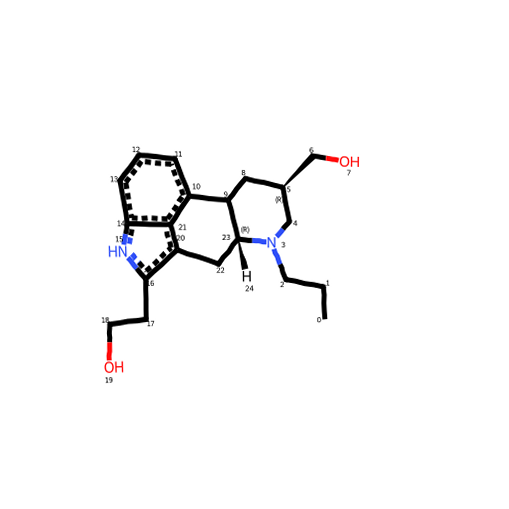 CCCN1C[C@H](CO)CC2c3cccc4[nH]c(CCO)c(c34)C[C@H]21